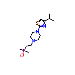 CC(C)c1csc(N2CCN(CCP(C)(C)=O)CC2)n1